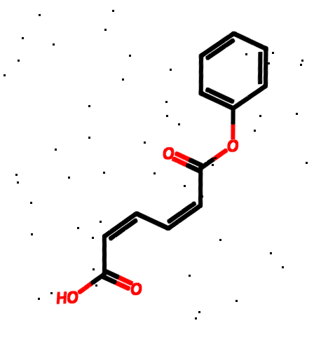 O=C(O)/C=C\C=C/C(=O)Oc1ccccc1